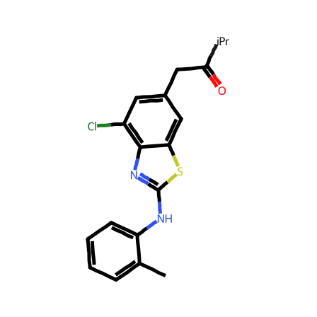 Cc1ccccc1Nc1nc2c(Cl)cc(CC(=O)C(C)C)cc2s1